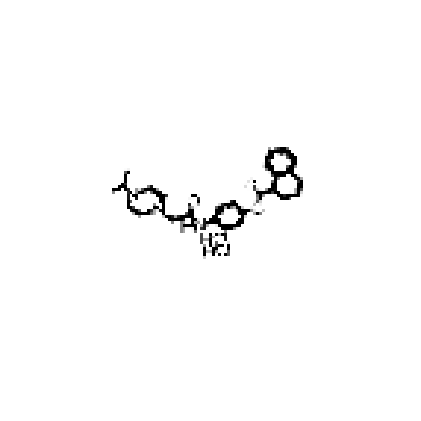 CC(C)N1CCN(CC(=O)Nc2ccc(OC(=O)C3CCCc4ccccc43)cc2)CC1.Cl.Cl